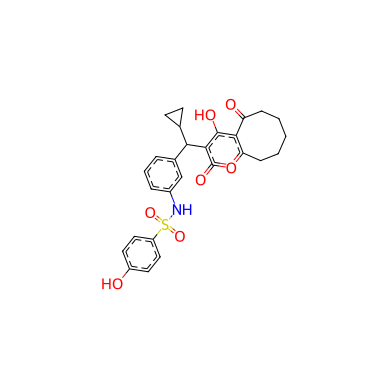 O=C1CCCCCc2oc(=O)c(C(c3cccc(NS(=O)(=O)c4ccc(O)cc4)c3)C3CC3)c(O)c21